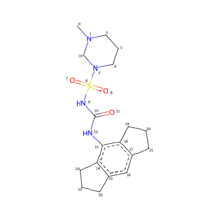 CN1CCCN(S(=O)(=O)NC(=O)Nc2c3c(cc4c2CCC4)CCC3)C1